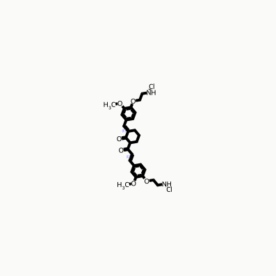 COc1cc(/C=C/C(=O)C2CCC/C(=C\c3ccc(OCCNCl)c(OC)c3)C2=O)ccc1OCCNCl